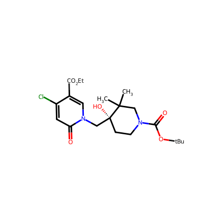 CCOC(=O)c1cn(C[C@]2(O)CCN(C(=O)OC(C)(C)C)CC2(C)C)c(=O)cc1Cl